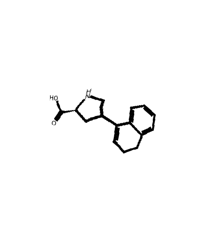 O=C(O)[C@@H]1CC(C2=CCCc3ccccc32)CN1